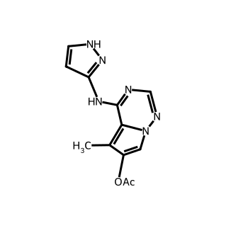 CC(=O)Oc1cn2ncnc(Nc3cc[nH]n3)c2c1C